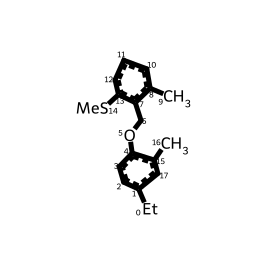 CCc1ccc(OCc2c(C)cccc2SC)c(C)c1